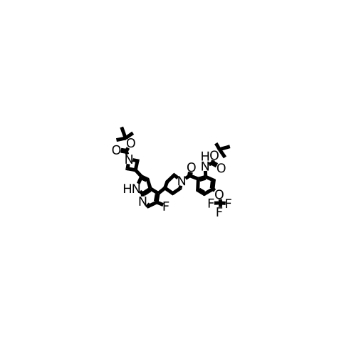 CC(C)(C)OC(=O)Nc1cc(OC(F)(F)F)ccc1C(=O)N1CCC(c2c(F)cnc3[nH]c(C4CN(C(=O)OC(C)(C)C)C4)cc23)CC1